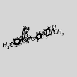 CC(=O)N1CCN(c2ccc(OCC3COC(Cn4ccnc4)(c4ccc(C)cc4)O3)cc2)CC1